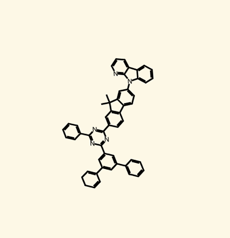 CC1(C)c2cc(-c3nc(-c4ccccc4)nc(-c4cc(C5=CCCC=C5)cc(-c5ccccc5)c4)n3)ccc2-c2ccc(-n3c4ccccc4c4cccnc43)cc21